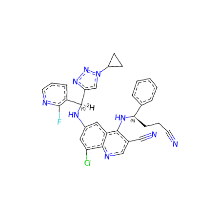 [2H][C@@](Nc1cc(Cl)c2ncc(C#N)c(N[C@H](CCC#N)c3ccccc3)c2c1)(c1cn(C2CC2)nn1)c1cccnc1F